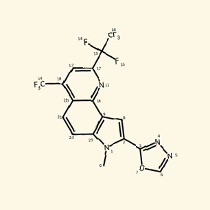 Cn1c(-c2nnco2)cc2c3nc(C(F)(F)C(F)(F)F)cc(C(F)(F)F)c3ccc21